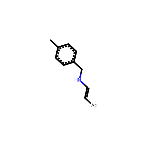 CC(=O)C=CNCc1ccc(C)cc1